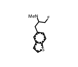 CNC(CF)Cc1ccc2sccc2c1